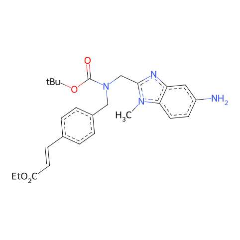 CCOC(=O)/C=C/c1ccc(CN(Cc2nc3cc(N)ccc3n2C)C(=O)OC(C)(C)C)cc1